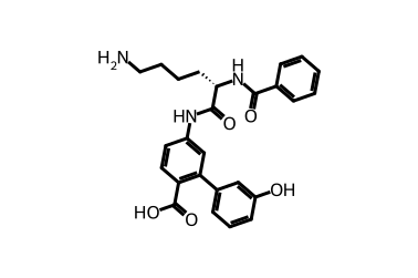 NCCCC[C@H](NC(=O)c1ccccc1)C(=O)Nc1ccc(C(=O)O)c(-c2cccc(O)c2)c1